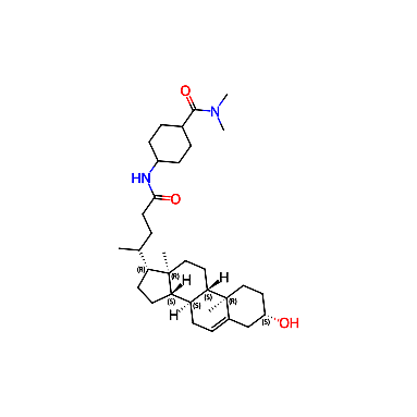 CC(CCC(=O)NC1CCC(C(=O)N(C)C)CC1)[C@H]1CC[C@H]2[C@@H]3CC=C4C[C@@H](O)CC[C@]4(C)[C@H]3CC[C@]12C